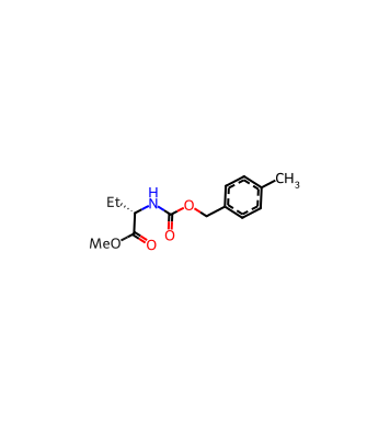 CC[C@H](NC(=O)OCc1ccc(C)cc1)C(=O)OC